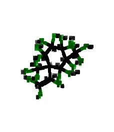 FC(F)=C(F)C1(C(F)(F)F)C(F)(F)C(F)(F)C(F)(F)C(F)(C(F)(F)F)C1(F)F